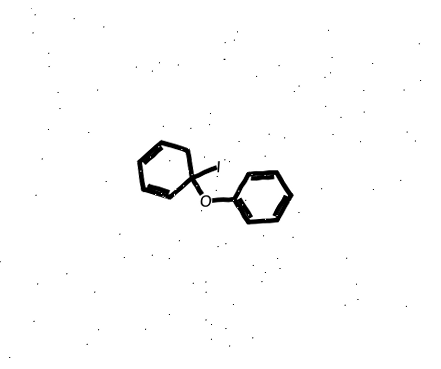 IC1(Oc2ccccc2)C=CC=CC1